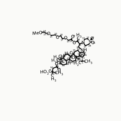 C=C(C)[C@@H]1CC[C@]2(NCC(C(C)OC(=O)COCCOCCOCCOC)N3CCS(=O)(=O)CC3)CC[C@]3(C)[C@H](CC[C@@H]4[C@@]5(C)CC[C@H](OC(=O)CC(C)(C)C(=O)O)C(C)(C)[C@@H]5CC[C@]43C)[C@@H]12